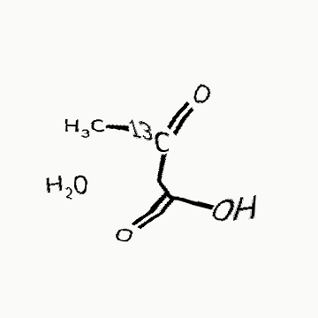 C[13C](=O)C(=O)O.O